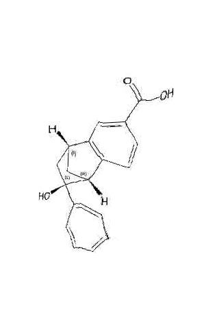 O=C(O)c1ccc2c(c1)[C@@H]1C[C@H]2[C@](O)(c2ccccc2)C1